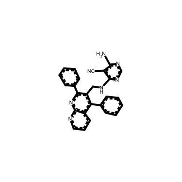 N#Cc1c(N)ncnc1NCc1c(-c2ccccc2)nc2ncccc2c1-c1ccccc1